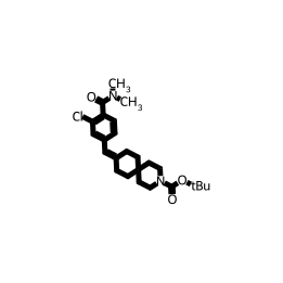 CN(C)C(=O)c1ccc(C=C2CCC3(CC2)CCN(C(=O)OC(C)(C)C)CC3)cc1Cl